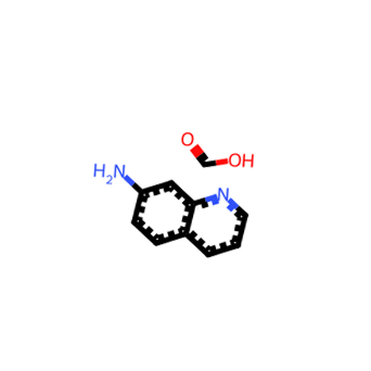 Nc1ccc2cccnc2c1.O=CO